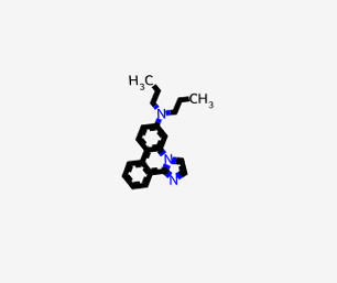 CCCN(CCC)c1ccc2c3ccccc3c3nccn3c2c1